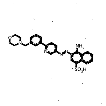 Nc1c(N=Nc2ccc(-c3cccc(CN4CCOCC4)c3)nc2)cc(S(=O)(=O)O)c2ccccc12